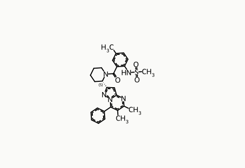 Cc1ccc(NS(C)(=O)=O)c(C(=O)N2CCCC[C@H]2c2cc3nc(C)c(C)c(-c4ccccc4)n3n2)c1